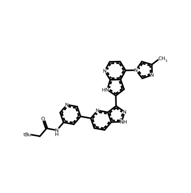 Cc1cn(-c2ccnc3[nH]c(-c4n[nH]c5ccc(-c6cncc(NC(=O)CC(C)(C)C)c6)nc45)cc23)cn1